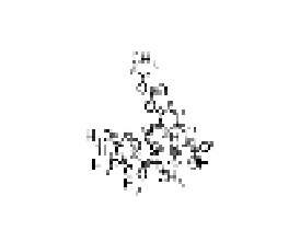 CCCOC(=O)Oc1ccc(C[C@H](NCC(C)OC(=O)CC(C)(C)C)C(=O)O)cc1OC(=O)OCCC